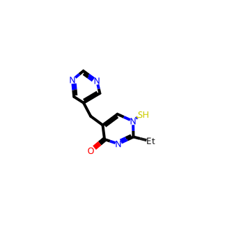 CCc1nc(=O)c(Cc2cncnc2)cn1S